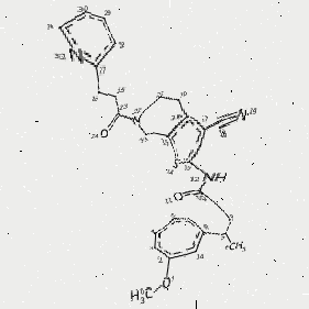 COc1cccc(C(C)CC(=O)Nc2sc3c(c2C#N)CCN(C(=O)CCc2ccccn2)C3)c1